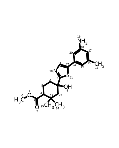 COC(=O)C1CCC(O)(c2ncc(-c3cc(C)cc(N)c3)s2)CC1(C)C